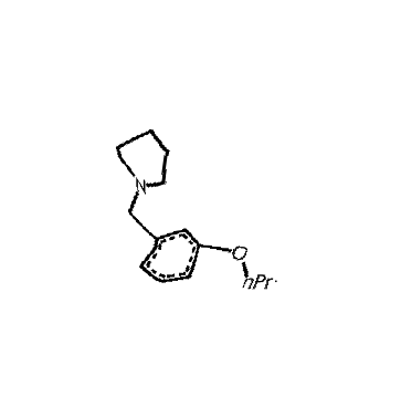 CC[CH]Oc1cccc(CN2CCCC2)c1